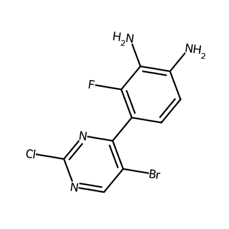 Nc1ccc(-c2nc(Cl)ncc2Br)c(F)c1N